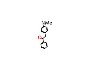 CNc1ccc(CC(=O)c2ccccc2)cc1